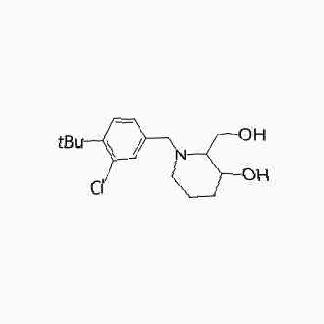 CC(C)(C)c1ccc(CN2CCCC(O)C2CO)cc1Cl